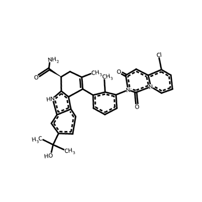 CC1=C(c2cccc(-n3c(=O)cc4c(Cl)cccn4c3=O)c2C)c2c([nH]c3cc(C(C)(C)O)ccc23)[C@@H](C(N)=O)C1